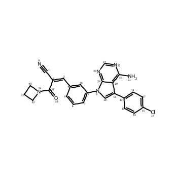 N#C/C(=C/c1cccc(-n2cc(-c3ccc(Cl)cc3)c3c(N)ncnc32)c1)C(=O)N1CCC1